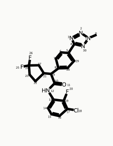 Cn1nnc(-c2ccc(C(C(=O)Nc3cccc(Cl)c3F)C3CCC(F)(F)C3)cc2)n1